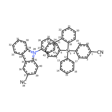 N#Cc1ccc([Si](c2ccccc2)(c2ccccc2)c2ccccc2-c2ccc(-n3c4ccccc4c4cc(C#N)ccc43)cc2)cc1